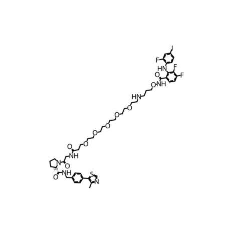 Cc1ncsc1-c1ccc(CNC(=O)[C@@H]2CCCN2C(=O)CNC(=O)CCOCCOCCOCCOCCOCCNCCCONC(=O)c2ccc(F)c(F)c2Nc2ccc(I)cc2F)cc1